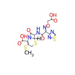 CSC1=C(C(=O)O)N2C(=O)C(NC(=O)C(=NOCC(=O)O)c3ncsn3)[C@@H]2SC1